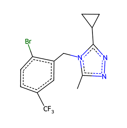 Cc1nnc(C2CC2)n1Cc1cc(C(F)(F)F)ccc1Br